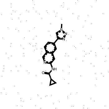 Cn1cc(-c2ccc3cnc(NC(=O)C4CC4)cc3c2)nn1